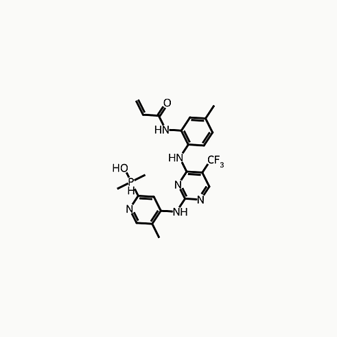 C=CC(=O)Nc1cc(C)ccc1Nc1nc(Nc2cc([PH](C)(C)O)ncc2C)ncc1C(F)(F)F